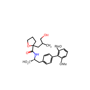 COc1cccc(OC)c1-c1ccc(C[C@H](NC(=O)C2(CC(C)CO)CCCO2)C(=O)O)cc1